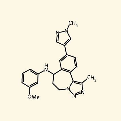 COc1cccc(NC2CCn3nnc(C)c3-c3ccc(-c4cnn(C)c4)cc32)c1